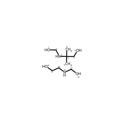 CC(C)(CO)NCO.OCCNCO